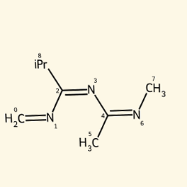 C=N/C(=N\C(C)=N/C)C(C)C